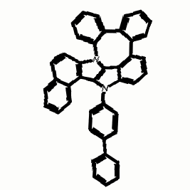 c1ccc(-c2ccc(-n3c4cccc5c6ccccc6c6ccccc6n6c7ccc8ccccc8c7c3c6c54)cc2)cc1